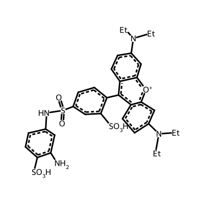 CCN(CC)c1ccc2c(-c3ccc(S(=O)(=O)Nc4ccc(S(=O)(=O)O)c(N)c4)cc3S(=O)(=O)O)c3ccc(N(CC)CC)cc3[o+]c2c1